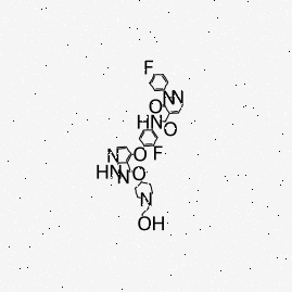 O=C(Nc1ccc(Oc2ccnc3[nH]nc(OC4CCN(CCO)CC4)c23)c(F)c1)c1ccnn(-c2ccc(F)cc2)c1=O